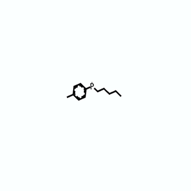 CCCCC[P]c1ccc(C)cc1